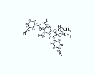 CC(C)(C)OC(=O)N(Cc1cnc(CF)c(OCc2cccc(C#N)c2)c1CF)c1ccc(C#N)cc1